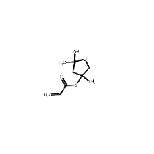 C=CC(=O)OC1(C)COC(O)(C(F)(F)F)C1